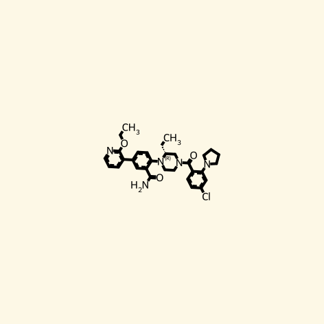 CCOc1ncccc1-c1ccc(N2CCN(C(=O)c3ccc(Cl)cc3N3CCCC3)C[C@H]2CC)c(C(N)=O)c1